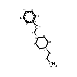 CCC[C@H]1CC[C@H](COc2ccccc2)CC1